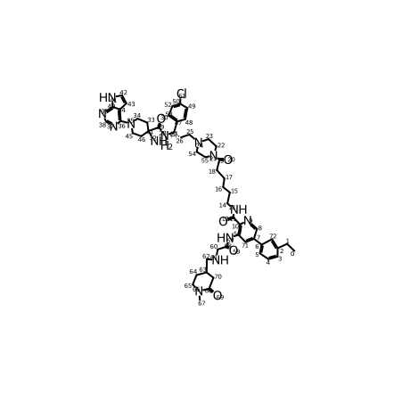 CCc1cccc(-c2cnc(C(=O)NCCCCCC(=O)N3CCN(CC[C@H](NC(=O)C4(N)CCN(c5ncnc6[nH]ccc56)CC4)c4ccc(Cl)cc4)CC3)c(NC(=O)CNCC3CCN(C)C(=O)C3)c2)c1